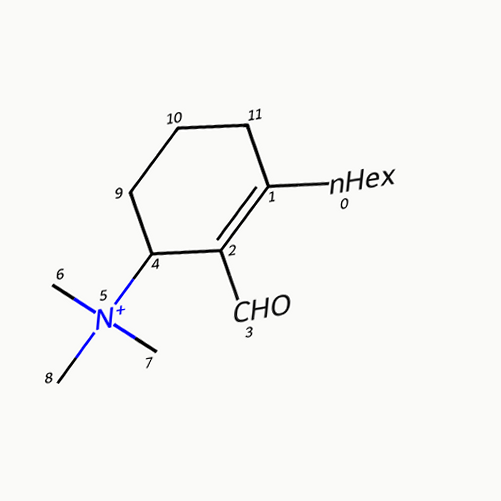 CCCCCCC1=C(C=O)C([N+](C)(C)C)CCC1